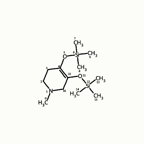 CN1CCC(O[Si](C)(C)C)=C(O[Si](C)(C)C)C1